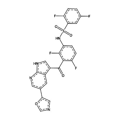 O=C(c1c(F)ccc(NS(=O)(=O)c2cc(F)ccc2F)c1F)c1c[nH]c2ncc(-c3cnco3)cc12